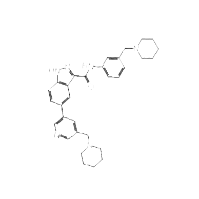 O=C(Nc1cccc(CN2CCCCC2)c1)c1n[nH]c2ccc(-c3cncc(CN4CCCCC4)c3)cc12